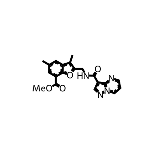 COC(=O)c1cc(C)cc2c(C)c(CNC(=O)c3cnn4cccnc34)oc12